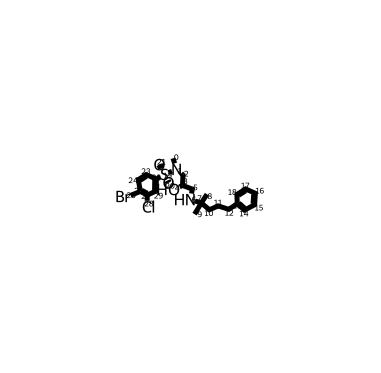 CN(CC(O)CNC(C)(C)CCCc1ccccc1)S(=O)(=O)c1ccc(Br)c(Cl)c1